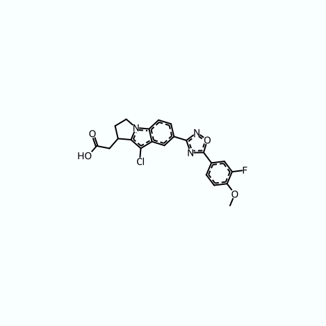 COc1ccc(-c2nc(-c3ccc4c(c3)c(Cl)c3n4CCC3CC(=O)O)no2)cc1F